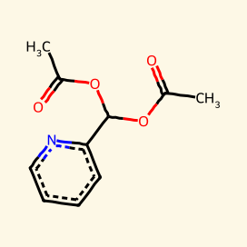 CC(=O)OC(OC(C)=O)c1ccccn1